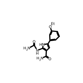 CCOc1cccc(-c2cc(C(N)=O)c(NC(N)=O)[nH]2)c1